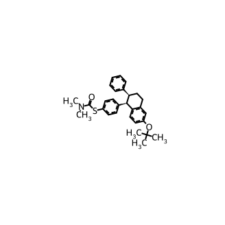 CN(C)C(=O)Sc1ccc([C@@H]2c3ccc(OC(C)(C)C)cc3CC[C@@H]2c2ccccc2)cc1